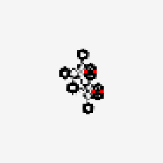 C[Si](C)(CP(c1ccccc1)c1ccccc1)C(SSC(P(c1ccccc1)c1ccccc1)[Si](C)(C)CP(c1ccccc1)c1ccccc1)P(c1ccccc1)c1ccccc1